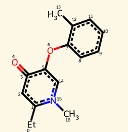 CCc1cc(=O)c(Oc2ccccc2C)cn1C